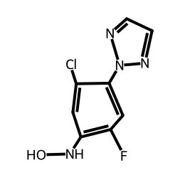 ONc1cc(Cl)c(-n2nccn2)cc1F